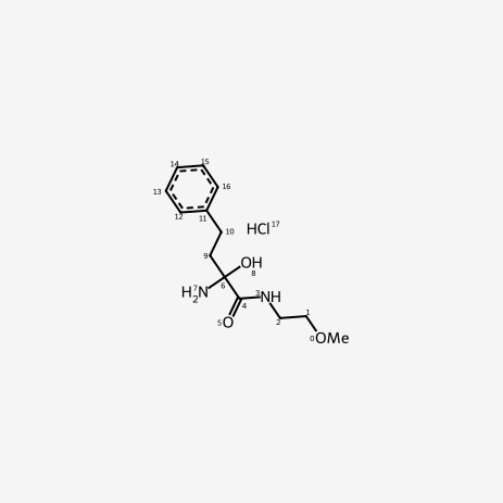 COCCNC(=O)C(N)(O)CCc1ccccc1.Cl